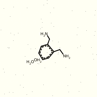 NCc1ccccc1CN.O.O